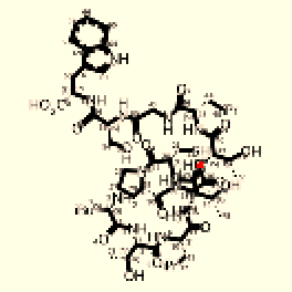 CC[C@H](C)[C@H](N)C(=O)N[C@H](C(=O)N[C@@H](CC(C)C)C(=O)N[C@H](C(=O)N[C@@H](CS)C(=O)N1CCC[C@H]1C(=O)N[C@@H](CS)C(=O)N[C@H](C(=O)N[C@@H](CC(C)C)C(=O)NCC(=O)N[C@@H](CO)C(=O)N[C@@H](Cc1c[nH]c2ccccc12)C(=O)O)[C@@H](C)O)[C@@H](C)O)[C@@H](C)O